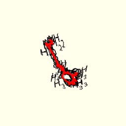 CO[C@H]1C[C@@H]2CC[C@@H](C)[C@@](O)(O2)C(=O)C(=O)N2CCCC[C@H]2C(=O)O[C@H]([C@H](C)C[C@@H]2CC[C@@H](O)[C@H](OC)C2)C[C@@H](O)[C@H](C)/C=C(\C)[C@@H](O)[C@@H](OC)C(=NOCC(=O)N2CCc3nc(N4CCN(c5ncc(C(=O)NCCOCCOCCOCCC(=O)NCCCCn6nc(-c7ccc8oc(N)nc8c7)c7c(N)ncnc76)cn5)CC4)ncc3C2)[C@H](C)C[C@H](C)/C=C/C=C/C=C/1C